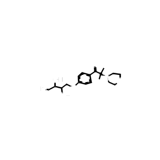 CC(C)(C(=O)c1ccc(SCC(O)C(O)CS)cc1)N1CCOCC1